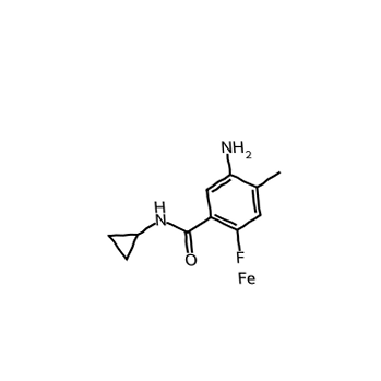 Cc1cc(F)c(C(=O)NC2CC2)cc1N.[Fe]